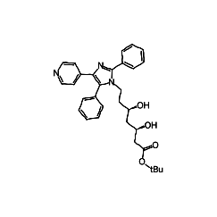 CC(C)(C)OC(=O)C[C@H](O)C[C@H](O)CCn1c(-c2ccccc2)nc(-c2ccncc2)c1-c1ccccc1